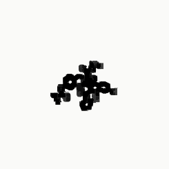 CN(C)C(=O)Oc1ccc(CN(NC(=O)OC(C)(C)C)C(=O)c2c(C(=O)N3CCCC3)[nH]c3cc(Cl)ccc3c2=O)cc1